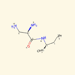 CC(C)C[C@@H](C=O)NC(=O)[C@H](N)CN